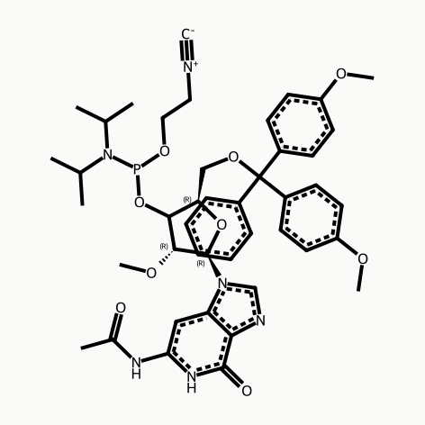 [C-]#[N+]CCOP(OC1[C@@H](OC)[C@H](n2cnc3c(=O)[nH]c(NC(C)=O)cc32)O[C@@H]1COC(c1ccccc1)(c1ccc(OC)cc1)c1ccc(OC)cc1)N(C(C)C)C(C)C